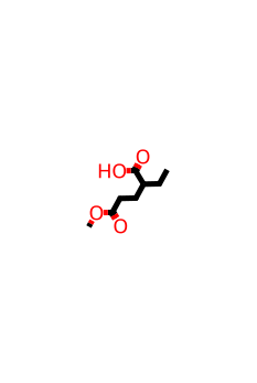 CCC(CCC(=O)OC)C(=O)O